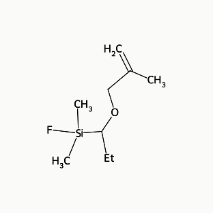 C=C(C)COC(CC)[Si](C)(C)F